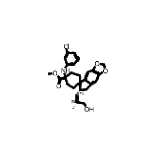 COC(=O)C1(Nc2cccc(Cl)c2)CCC2(CC1)c1cc3c(cc1C[C@@H]2C[C@@H](C)CO)OCO3